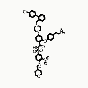 CN(C)CCc1ccc(Oc2cc(N3CCN(Cc4ccccc4-c4ccc(Cl)cc4)CC3)ccc2C(=O)NS(=O)(=O)c2ccc(NCC3CCOCC3)c([N+](=O)[O-])c2)cc1